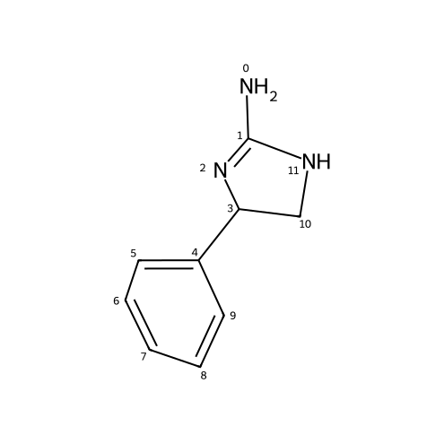 NC1=NC(c2ccccc2)CN1